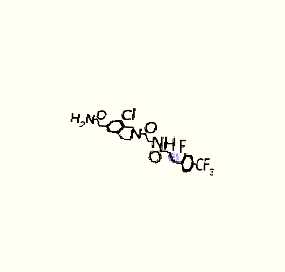 NC(=O)Cc1cc(Cl)c2c(c1)CCN(C(=O)CNC(=O)/C=C/c1ccc(C(F)(F)F)cc1F)C2